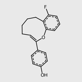 Oc1ccc(/C2=C\CCCCc3c(F)cccc3O2)cc1